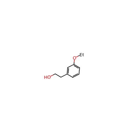 CCOc1cccc(CCO)c1